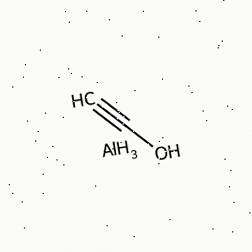 C#CO.[AlH3]